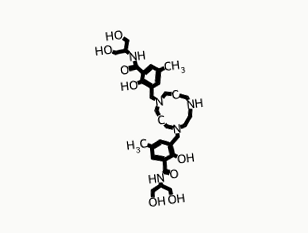 Cc1cc(CN2CCCNCCN(Cc3cc(C)cc(C(=O)NC(CO)CO)c3O)CCC2)c(O)c(C(=O)NC(CO)CO)c1